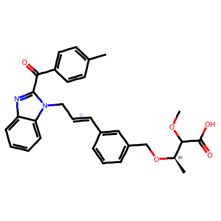 COC(C(=O)O)[C@@H](C)OCc1cccc(/C=C/Cn2c(C(=O)c3ccc(C)cc3)nc3ccccc32)c1